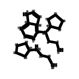 OCCN(c1ncnc2[nH]ccc12)C1CCCC1.OCCNC1CCCC1